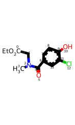 CCOC(=O)CN(C)C(=O)c1ccc(O)c(Cl)c1